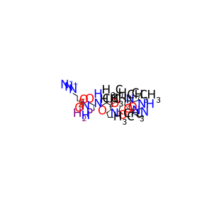 CC[C@H](C)[C@@H]([C@@H](CC(=O)N1CCC[C@H]1[C@H](OC)[C@@H](C)C(=O)N[C@@H](CP)C(=O)NS(=O)(=O)CCCN=[N+]=[N-])OC)N(C)C(=O)[C@@H](Nc1nccc(C)n1)C(C)C